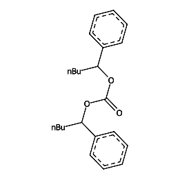 CCCCC(OC(=O)OC(CCCC)c1ccccc1)c1ccccc1